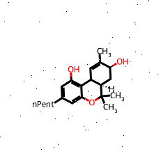 CCCCCc1cc(O)c2c(c1)OC(C)(C)[C@@H]1C[C@H](O)C(C)=CC21